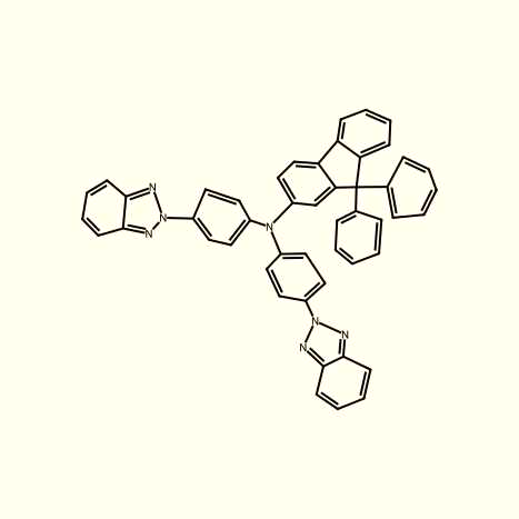 c1ccc(C2(c3ccccc3)c3ccccc3-c3ccc(N(c4ccc(-n5nc6ccccc6n5)cc4)c4ccc(-n5nc6ccccc6n5)cc4)cc32)cc1